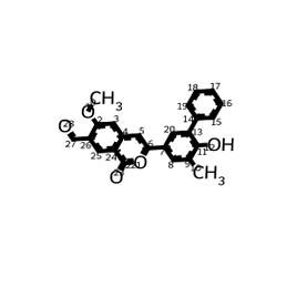 COc1cc2cc(-c3cc(C)c(O)c(-c4ccccc4)c3)oc(=O)c2cc1C=O